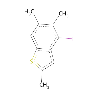 Cc1cc2c(I)c(C)c(C)cc2s1